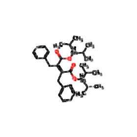 C[CH](C)[SnH]([O]C(=O)/C(Cc1ccccc1)=C(/Cc1ccccc1)C(=O)[O][SnH]([CH](C)C)[CH](C)C)[CH](C)C